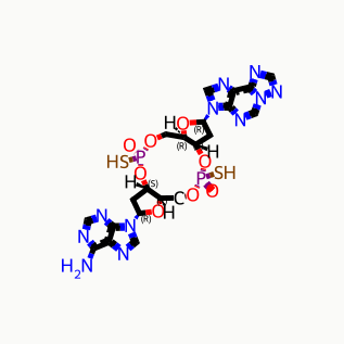 Nc1ncnc2c1ncn2[C@H]1C[C@@H]2OP(=O)(S)OC[C@H]3O[C@@H](n4cnc5c4ncn4ncnc54)C[C@@H]3OP(=O)(S)OC[C@H]2O1